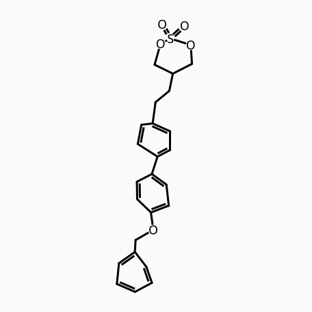 O=S1(=O)OCC(CCc2ccc(-c3ccc(OCc4ccccc4)cc3)cc2)CO1